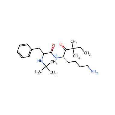 CCC(C)(C)C(=O)[C@H](CCCCN)NC(=O)C(Cc1ccccc1)NC(C)(C)C